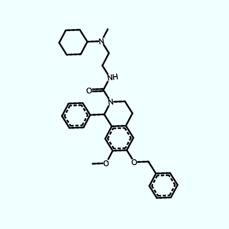 COc1cc2c(cc1OCc1ccccc1)CCN(C(=O)NCCN(C)C1CCCCC1)C2c1ccccc1